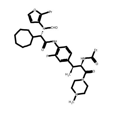 CCC(=O)N[C@@H](C(=O)N1CCN(C)CC1)[C@@H](C)c1ccc(NC(=O)[C@H](C2CCCCCC2)N(C=O)c2ccoc2C(C)C)c(F)c1